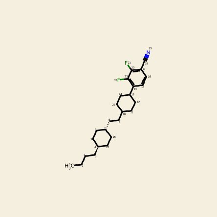 CCCC[C@H]1CC[C@H](CCC2CCC(c3ccc(C#N)c(F)c3F)CC2)CC1